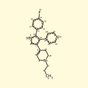 CCCN1CC=C(c2c[nH]c(-c3ccc(F)cc3)c2-c2ccncc2)CC1